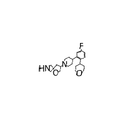 Fc1ccc(C2CCOCC2)c(C2CCN(C3COC4(CNC4)C3)CC2)c1